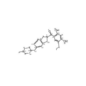 CCc1cc(C(=O)N2Cc3ccc(CN4CCN(C)CC4)cc3C2)c(O)cc1O